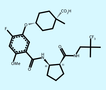 COc1cc(F)c(O[C@H]2CC[C@@](C)(C(=O)O)CC2)cc1C(=O)N[C@@H]1CCC[C@@H]1C(=O)NCC(C)(C)C(F)(F)F